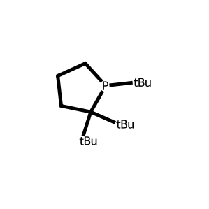 CC(C)(C)P1CCCC1(C(C)(C)C)C(C)(C)C